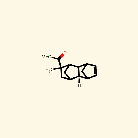 COC(=O)C1(C)CC2CC1C1C3C=CC(C3)[C@H]21